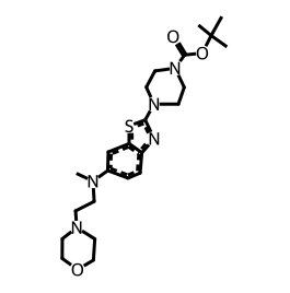 CN(CCN1CCOCC1)c1ccc2nc(N3CCN(C(=O)OC(C)(C)C)CC3)sc2c1